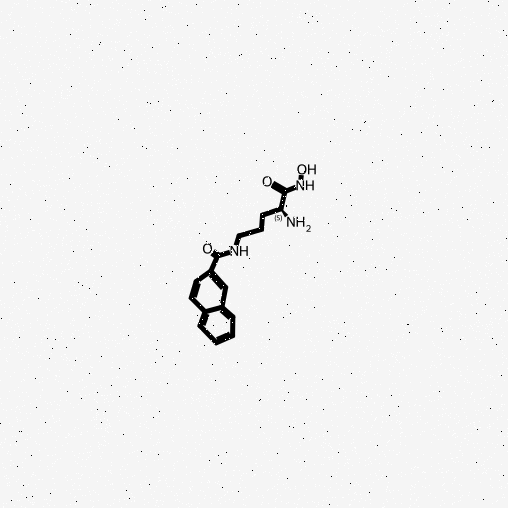 N[C@@H](CCCNC(=O)c1ccc2ccccc2c1)C(=O)NO